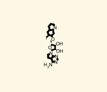 Nc1ncnc2c1ccn2[C@@H]1O[C@H](COc2cc3ncccc3cc2I)[C@@H](O)[C@H]1O